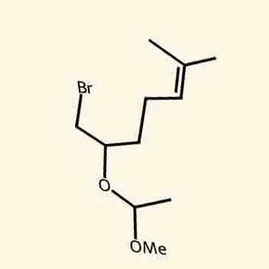 COC(C)OC(CBr)CCC=C(C)C